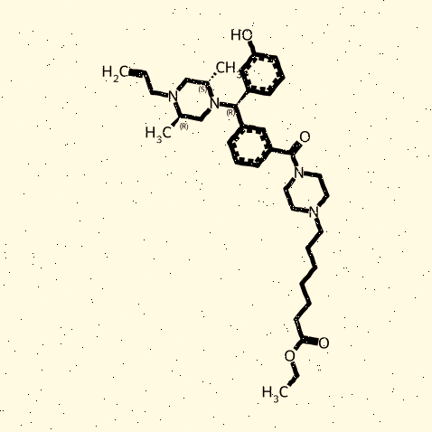 C=CCN1C[C@H](C)N([C@@H](c2cccc(O)c2)c2cccc(C(=O)N3CCN(CCCCCCC(=O)OCC)CC3)c2)C[C@H]1C